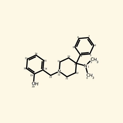 CN(C)C1(c2ccccc2)CCN(Cc2ccccc2O)CC1